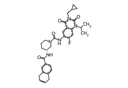 CC(C)n1c(=O)n(CC2CC2)c(=O)c2cc(NC(=O)N3CCC[C@@H](NC(=O)c4ccc5c(c4)CC=CC5)C3)c(F)cc21